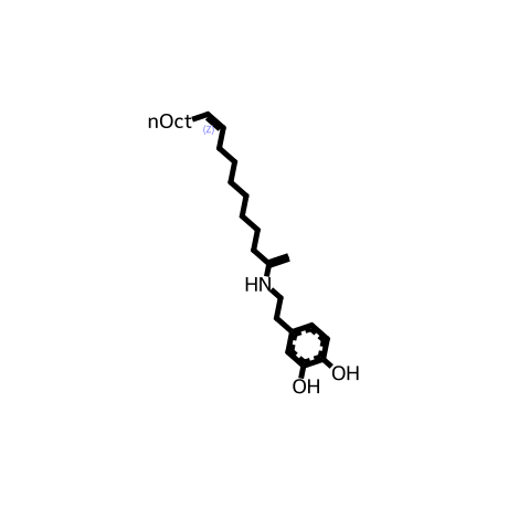 C=C(CCCCCCC/C=C\CCCCCCCC)NCCc1ccc(O)c(O)c1